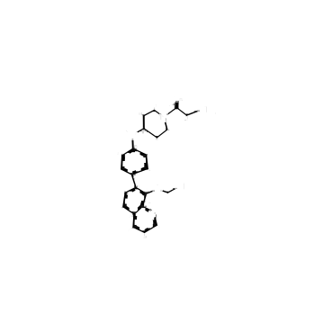 CCOc1c(-c2ccc(OC3CCN(C(=O)CC)CC3)cc2)ccc2cccnc12